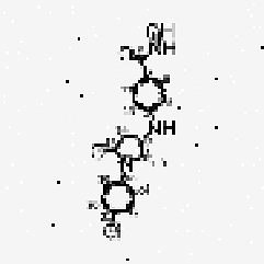 C[C@H]1[C@H](Nc2ccc(C(=O)NO)cc2)CC(=O)N1c1ccc(Cl)cc1